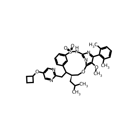 COc1c2nc(nc1-c1c(C)cccc1C)NS(=O)(=O)c1cccc(c1)C(Cc1ncc(OC3CCC3)cn1)[C@H](CC(C)C)CO2